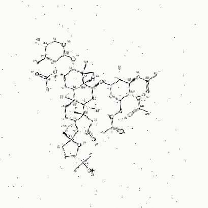 CC(=O)OC[C@H]1OC(O[C@H]2C[C@@H]3[C@]4(CC[C@]5(C)[C@@H]([C@@]6(C)CC[C@@H](C(C)(C)O)O6)C(=O)C[C@@]35C)C[C@@]43CC[C@H](OC4OC[C@@H](C)[C@H](C)[C@H]4OC(C)=O)C(C)(C)[C@H]23)[C@H](C)[C@@H](OC(C)=O)[C@@H]1OC(C)=O